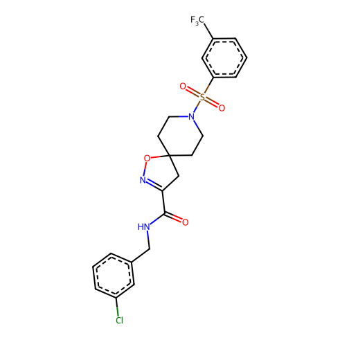 O=C(NCc1cccc(Cl)c1)C1=NOC2(CCN(S(=O)(=O)c3cccc(C(F)(F)F)c3)CC2)C1